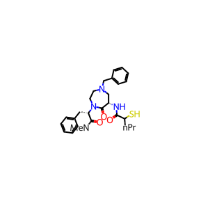 CCCC(S)C(=O)N[C@H]1CN(Cc2ccccc2)CCN([C@@H](Cc2ccccc2)C(=O)NC)C1=O